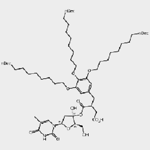 CCCCCCCCCCCCCCCCCCOc1cc(CC(CC(=O)O)C(=O)O[C@]2(O)C[C@H](n3cc(C)c(=O)[nH]c3=O)O[C@@H]2CO)cc(OCCCCCCCCCCCCCCCCCC)c1OCCCCCCCCCCCCCCCCCC